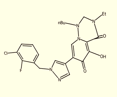 CCCCN1CN(CC)C(=O)c2c(O)c(=O)c(-c3cnn(Cc4cccc(Cl)c4F)c3)cn21